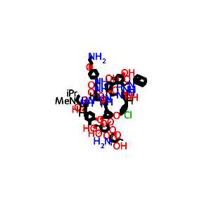 CN[C@H](CC(C)C)C(=O)N[C@H]1C(=O)N[C@@H](CC(=O)NC(=O)Nc2ccc(OCCN)cc2)C(=O)N[C@H]2C(=O)N[C@H]3C(=O)N[C@H](C(=O)N[C@H](C(=O)NC4C5CC6CC(C5)CC4C6)c4cc(O)cc(C)c4-c4cc3ccc4O)[C@H](O)c3ccc(c(Cl)c3)Oc3cc2cc(c3O[C@@H]2O[C@H](CO)[C@@H](O)[C@H](O)[C@H]2O[C@H]2C[C@](C)(N)[C@H](O)[C@H](C)O2)Oc2ccc(cc2C)[C@H]1O